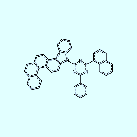 c1ccc(-c2nc(-c3cccc4ccccc34)nc(-n3c4ccccc4c4c5ccc6ccc7ccccc7c6c5ccc43)n2)cc1